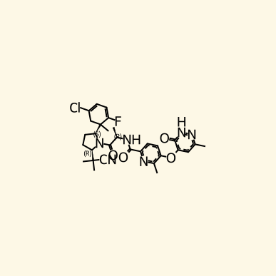 Cc1cc(Oc2ccc(C(=O)N[C@H](C)C(=O)N3[C@H](C4(C)CC(Cl)=CC=C4F)CC[C@@H]3C(C)(C)C#N)nc2C)c(=O)[nH]n1